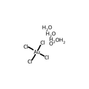 O.O.O.O.[Cl][Au]([Cl])([Cl])[Cl]